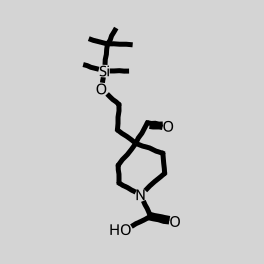 CC(C)(C)[Si](C)(C)OCCC1(C=O)CCN(C(=O)O)CC1